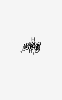 CCO[C@@H]1CCN(C(=O)c2ccc(Nc3nc(-c4cccc(N5CCc6cc(C7CC7)ccc6C5=O)c4CO)cn(C)c3=O)cc2)C1